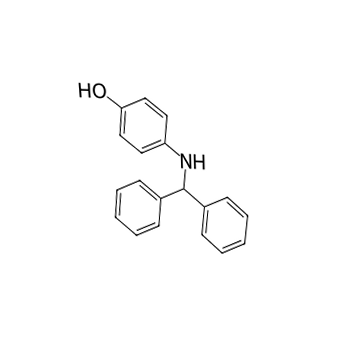 Oc1ccc(NC(c2ccccc2)c2ccccc2)cc1